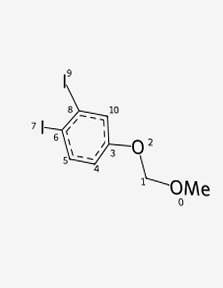 COCOc1ccc(I)c(I)c1